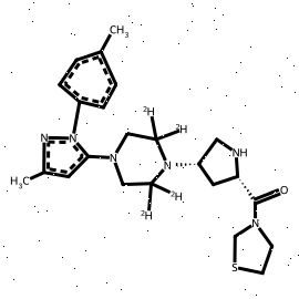 [2H]C1([2H])CN(c2cc(C)nn2-c2ccc(C)cc2)CC([2H])([2H])N1[C@@H]1CN[C@H](C(=O)N2CCSC2)C1